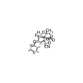 CC1(C)COP(=O)(OC(C#N)c2ccc(F)c(Oc3ccccc3)c2)OC1